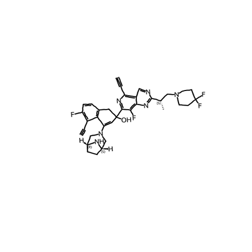 C#Cc1c(F)ccc2c1C(N1C[C@H]3CC[C@@H](C1)N3)=CC(O)(c1nc(C#C)c3cnc([C@@H](C)CN4CCC(F)(F)CC4)nc3c1F)C2